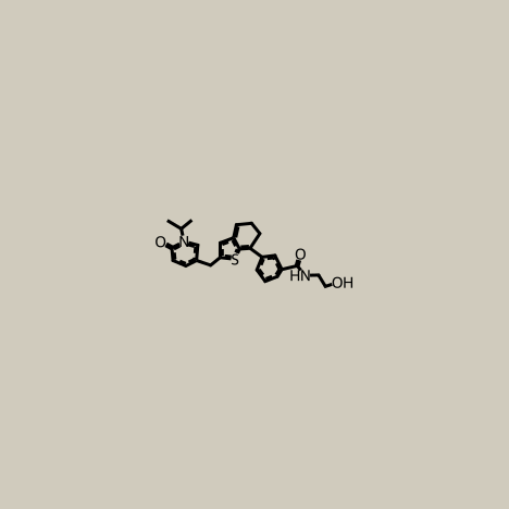 CC(C)n1cc(Cc2cc3c(s2)=C(c2cccc(C(=O)NCCO)c2)CCC=3)ccc1=O